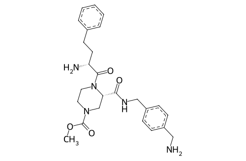 COC(=O)N1CCN(C(=O)[C@H](N)CCc2ccccc2)[C@H](C(=O)NCc2ccc(CN)cc2)C1